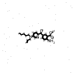 C=CCN(CCCCC)c1ccc(C(=O)c2ccc(N)c(C(=O)OC)c2)nc1